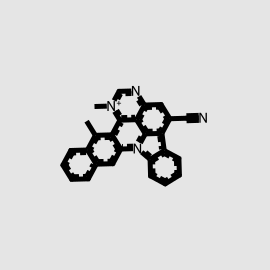 Cc1c2ccccc2cc2c1c1c3c(cc(C#N)c4c5ccccc5n2c43)nc[n+]1C